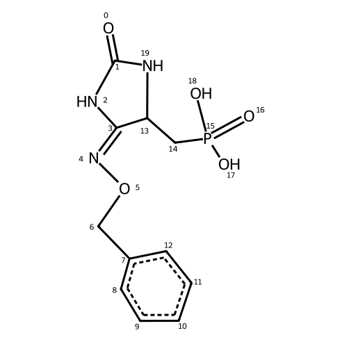 O=C1N/C(=N/OCc2ccccc2)C(CP(=O)(O)O)N1